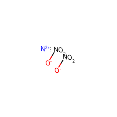 O=[N+]([O-])[O-].O=[N+]([O-])[O-].[N+2]